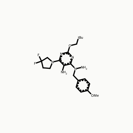 COc1ccc(CN(N)c2nc(OCC(C)(C)C)nc(N3CCC(F)(F)C3)c2N)cc1